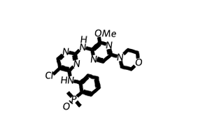 COc1nc(N2CCOCC2)cnc1Nc1ncc(Cl)c(Nc2ccccc2P(C)(C)=O)n1